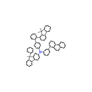 CC1(C)c2ccccc2-c2cccc(-c3ccccc3-c3ccc(N(c4cccc(-c5cccc6c5ccc5ccccc56)c4)c4ccc5c(c4)C(C)(c4ccccc4)c4ccccc4-5)cc3)c21